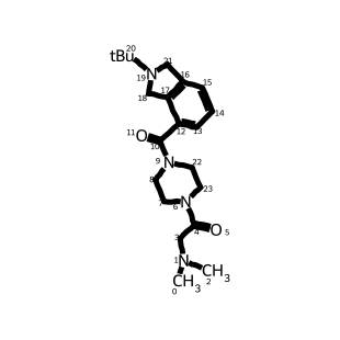 CN(C)CC(=O)N1CCN(C(=O)c2cccc3c2CN(C(C)(C)C)C3)CC1